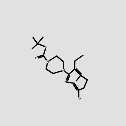 CCC1=C(/C)CC/C(Br)=C/N=C\1N1CCN(C(=O)OC(C)(C)C)CC1